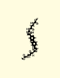 COC(=O)NCCC(=O)Pc1ncc(-c2ccc3c(c2)sc2cc(-c4cnc(PC(=O)CCNC(=O)OC)[nH]4)ccc23)[nH]1